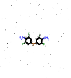 Nc1c(F)cc(Sc2cc(F)c(N)c(F)c2)cc1F